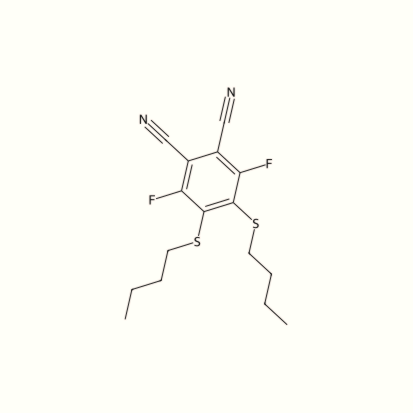 CCCCSc1c(F)c(C#N)c(C#N)c(F)c1SCCCC